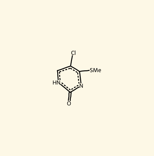 CSc1nc(=O)[nH]cc1Cl